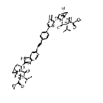 COC(=O)N[C@H](C(=O)N1[C@@H]2CC2C[C@H]1c1nc2ccc(C#Cc3ccc(-c4c[nH]c([C@@H]5C[C@H]6C[C@H]6N5C(=O)[C@@H](NC(=O)OC)C(C)C)n4)cc3)cc2[nH]1)C(C)C